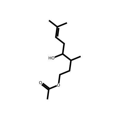 CC(=O)OCCC(C)C(O)CC=C(C)C